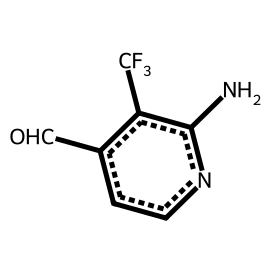 Nc1nccc(C=O)c1C(F)(F)F